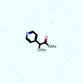 CNC(=O)C(OC)c1ccncc1